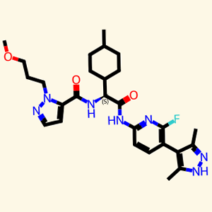 COCCCn1nccc1C(=O)N[C@H](C(=O)Nc1ccc(-c2c(C)n[nH]c2C)c(F)n1)C1CCC(C)CC1